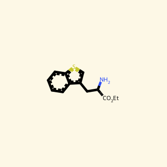 CCOC(=O)C(N)Cc1csc2ccccc12